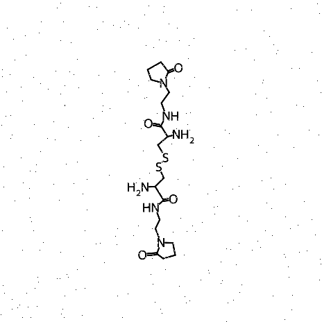 NC(CSSCC(N)C(=O)NCCN1CCCC1=O)C(=O)NCCN1CCCC1=O